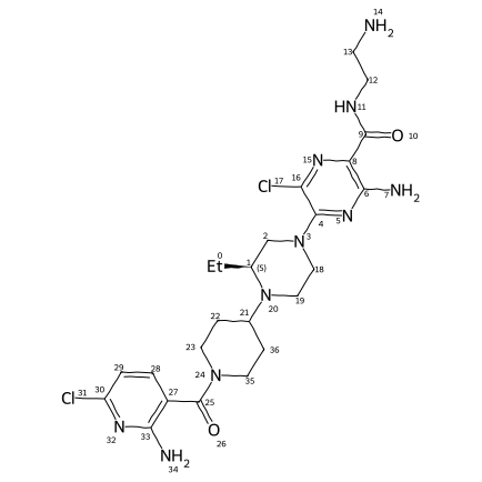 CC[C@H]1CN(c2nc(N)c(C(=O)NCCN)nc2Cl)CCN1C1CCN(C(=O)c2ccc(Cl)nc2N)CC1